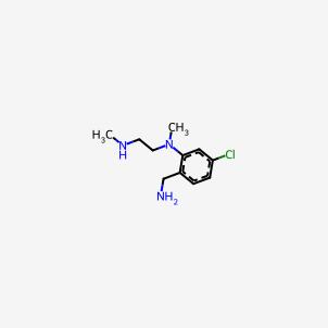 CNCCN(C)c1cc(Cl)ccc1CN